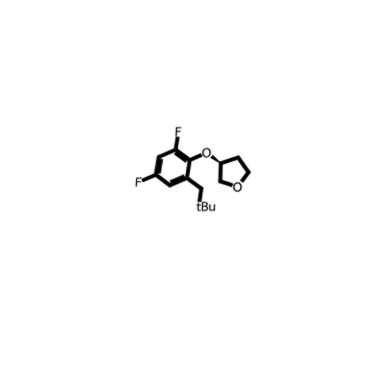 CC(C)(C)Cc1cc(F)cc(F)c1O[C@H]1CCOC1